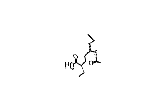 CCCC(CCC(CC)C(=O)O)SC(C)=O